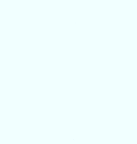 C(=Cc1cccc2ccccc12)c1ccc2c(c1)C=C2